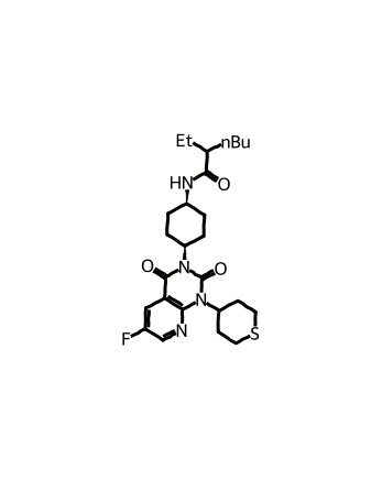 CCCCC(CC)C(=O)N[C@H]1CC[C@@H](n2c(=O)c3cc(F)cnc3n(C3CCSCC3)c2=O)CC1